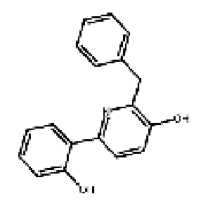 Oc1ccccc1-c1ccc(O)c(Cc2ccccc2)n1